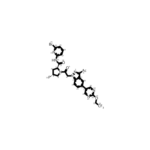 CC(=O)c1nn(CC(=O)N2C[C@H](F)C[C@H]2C(=O)Nc2cccc(Br)n2)c2ccc(-c3cnc(OCC(F)(F)F)nc3)cc12